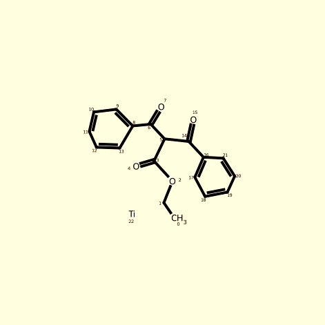 CCOC(=O)C(C(=O)c1ccccc1)C(=O)c1ccccc1.[Ti]